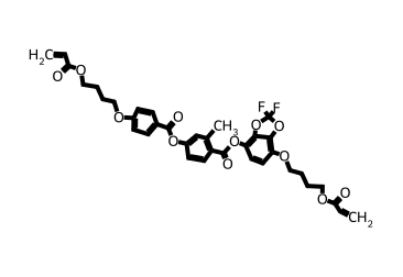 C=CC(=O)OCCCCOc1ccc(C(=O)Oc2ccc(C(=O)Oc3ccc(OCCCCOC(=O)C=C)c4c3OC(F)(F)O4)c(C)c2)cc1